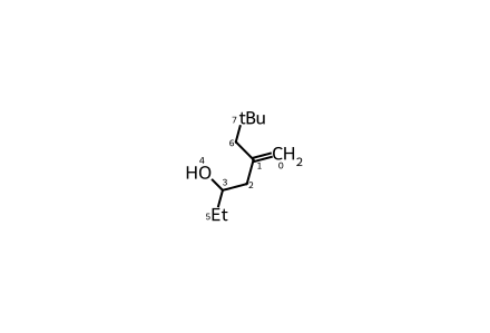 C=C(CC(O)CC)CC(C)(C)C